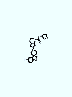 O=C(O[C@H]1CCOC1)N1CCCC2CC(N3CCC4(CC3)COc3ccc(F)cc34)CC21